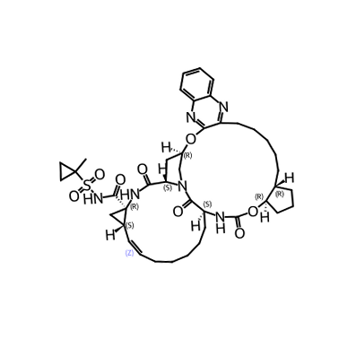 CC1(S(=O)(=O)NC(=O)[C@@]23C[C@H]2/C=C\CCCCC[C@@H]2NC(=O)O[C@@H]4CCC[C@H]4CCCCCc4nc5ccccc5nc4O[C@@H]4C[C@@H](C(=O)N3)N(C4)C2=O)CC1